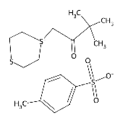 CC(C)(C)C(=O)C[S+]1CCSCC1.Cc1ccc(S(=O)(=O)[O-])cc1